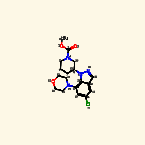 CC(C)(C)OC(=O)N1CCC[C@H](n2ncc3cc(Cl)cc(N4CCOCC4)c32)C1